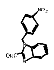 O=Cc1nc2ccccc2n1Cc1ccc([N+](=O)[O-])cc1